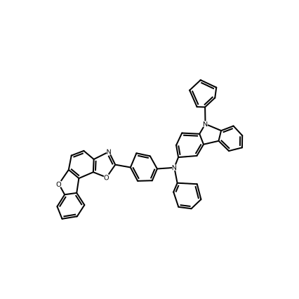 c1ccc(N(c2ccc(-c3nc4ccc5oc6ccccc6c5c4o3)cc2)c2ccc3c(c2)c2ccccc2n3-c2ccccc2)cc1